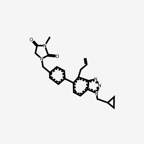 C=CCc1c(-c2ccc(CN3CC(=O)N(C)C3=O)cc2)ccc2c1nnn2CC1CC1